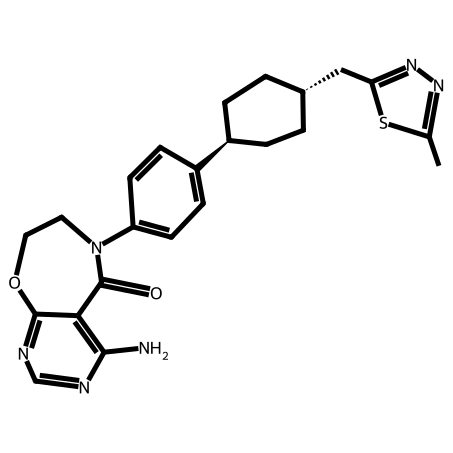 Cc1nnc(C[C@H]2CC[C@H](c3ccc(N4CCOc5ncnc(N)c5C4=O)cc3)CC2)s1